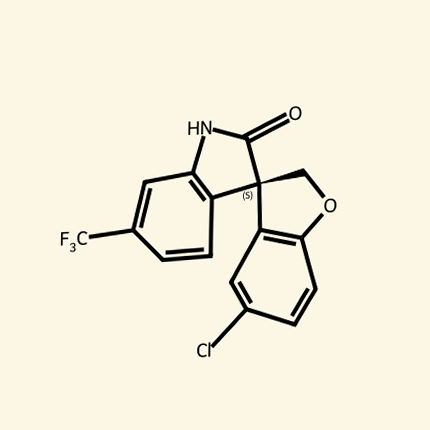 O=C1Nc2cc(C(F)(F)F)ccc2[C@]12COc1ccc(Cl)cc12